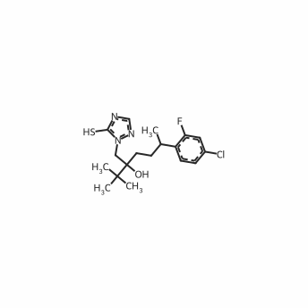 CC(CCC(O)(Cn1ncnc1S)C(C)(C)C)c1ccc(Cl)cc1F